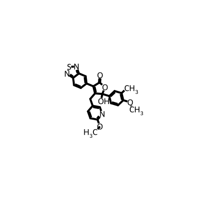 COc1ccc(CC2=C(c3ccc4nsnc4c3)C(=O)OC2(O)c2ccc(OC)c(C)c2)cn1